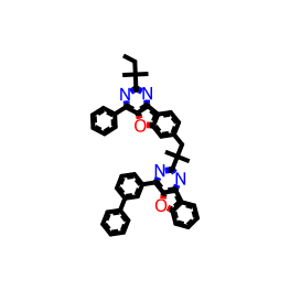 CCC(C)(C)c1nc(-c2ccccc2)c2oc3cc(CC(C)(C)c4nc(-c5cccc(-c6ccccc6)c5)c5oc6ccccc6c5n4)ccc3c2n1